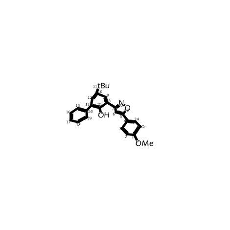 COc1ccc(-c2cc(-c3cc(C(C)(C)C)cc(-c4ccccc4)c3O)no2)cc1